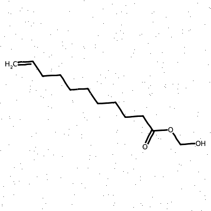 C=CCCCCCCCCC(=O)OCO